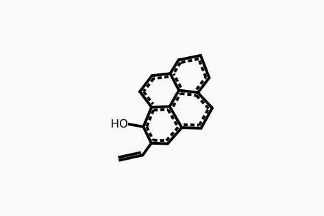 C=Cc1cc2ccc3cccc4ccc(c1O)c2c34